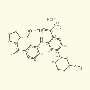 COCC1CCCN1C(=O)c1cccc(Nc2nc(N3CCCC(N)C3)ncc2C(N)=O)c1.Cl